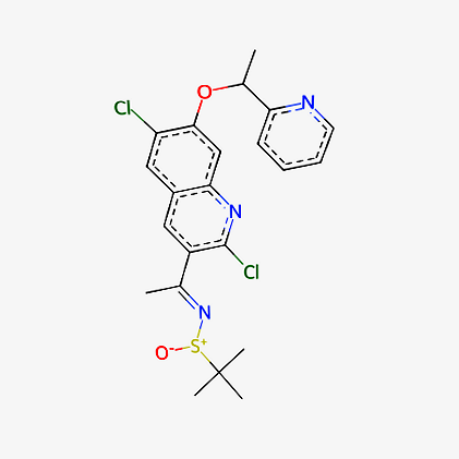 CC(=N[S+]([O-])C(C)(C)C)c1cc2cc(Cl)c(OC(C)c3ccccn3)cc2nc1Cl